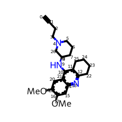 C#CCCN1CCC[C@@H](Nc2c3c(nc4cc(OC)c(OC)cc24)CCCC3)C1